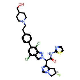 O=C(Nc1nccs1)C(c1ncn2c1C[C@@H](F)C2)n1cc2c(Cl)cc(-c3ccc(CCN4CCC(CO)CC4)cc3)c(Cl)c2n1